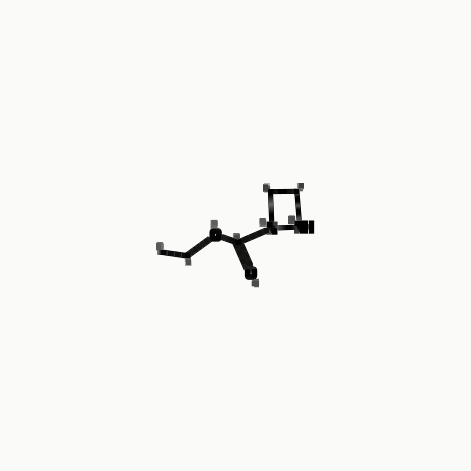 CCOC(=O)N1CCN1